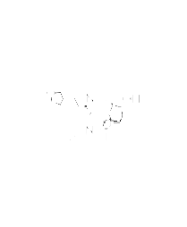 CC[C@H](C[C@]12CCN(CC3CC3)[C@H](Cc3ccc(O)c(OC)c31)[C@@]2(C)O)N(C)C(=O)/C=C/c1ccoc1